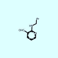 CC(C)CNc1ncccc1C=O